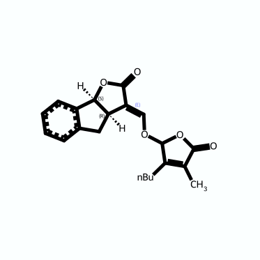 CCCCC1=C(C)C(=O)OC1O/C=C1/C(=O)O[C@@H]2c3ccccc3C[C@H]12